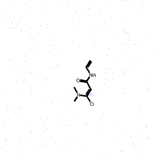 C=CNC(=O)/C=C(/Cl)N(C)C